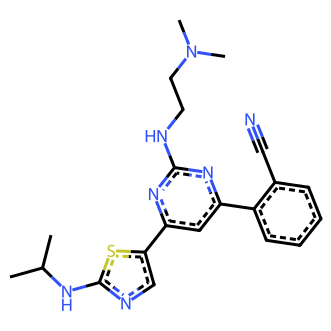 CC(C)Nc1ncc(-c2cc(-c3ccccc3C#N)nc(NCCN(C)C)n2)s1